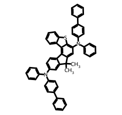 CC1(C)c2cc(N(c3ccccc3)c3ccc(-c4ccccc4)cc3)ccc2-c2c1cc(N(c1ccccc1)c1ccc(-c3ccccc3)cc1)c1sc3ccccc3c21